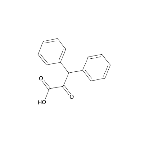 O=C(O)C(=O)C(c1ccccc1)c1ccccc1